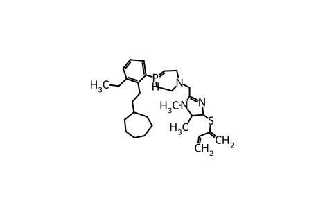 C=CC(=C)SC1N=C(CN2CC=[PH](c3cccc(CC)c3CCC3CCCCCC3)CC2)N(C)C1C